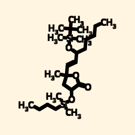 CCCCCC(C=CC1(C)CC(O[Si](C)(C)CCCC)C(=O)O1)O[Si](C)(C)C(C)(C)C